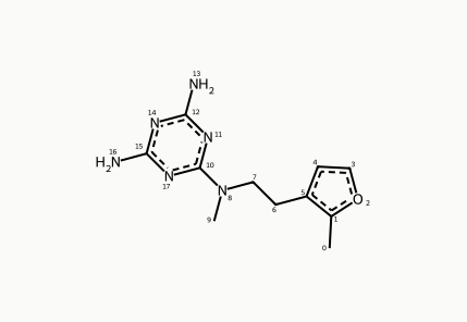 Cc1occc1CCN(C)c1nc(N)nc(N)n1